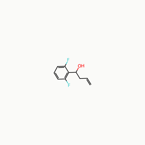 C=CCC(O)c1c(F)cccc1F